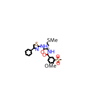 COc1ccc(C(=O)N[C@@H](CCSC)C(=O)Nc2nc(-c3ccccc3)cs2)cc1S(C)(=O)=O